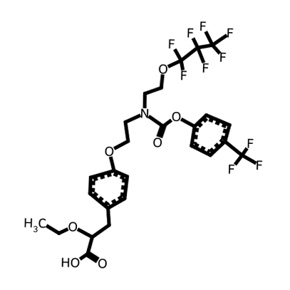 CCOC(Cc1ccc(OCCN(CCOC(F)(F)C(F)(F)C(F)(F)F)C(=O)Oc2ccc(C(F)(F)F)cc2)cc1)C(=O)O